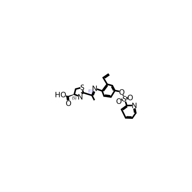 C=Cc1cc(OS(=O)(=O)c2ccccn2)ccc1/N=C(\C)C1=N[C@@H](C(=O)O)CS1